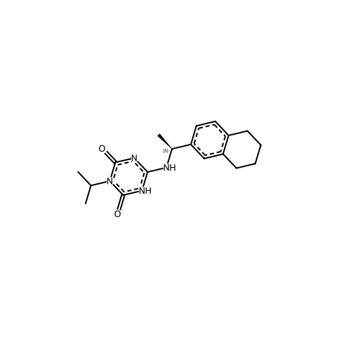 CC(C)n1c(=O)nc(N[C@@H](C)c2ccc3c(c2)CCCC3)[nH]c1=O